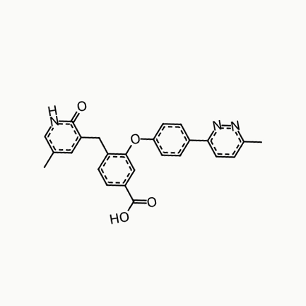 Cc1c[nH]c(=O)c(Cc2ccc(C(=O)O)cc2Oc2ccc(-c3ccc(C)nn3)cc2)c1